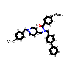 CCCCCc1ccc(C(=O)N(Cc2ccc(-c3ccccc3)cc2)CC2CCN(Cc3ccc(OC)cc3)CC2)cc1